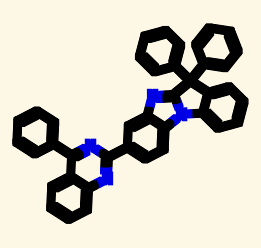 c1ccc(-c2nc(-c3ccc4c(c3)nc3n4-c4ccccc4C3(c3ccccc3)c3ccccc3)nc3ccccc23)cc1